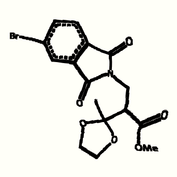 COC(=O)C(CN1C(=O)c2ccc(Br)cc2C1=O)C1(C)OCCO1